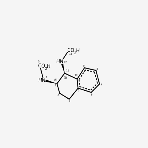 O=C(O)N[C@@H]1CCc2ccccc2[C@@H]1NC(=O)O